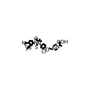 CC(C(=O)O)N1CCN(CCOc2ccc(N3C(=S)N(c4ccc(C#N)c(C(F)(F)F)c4)C(=O)C3(C)C)cc2Cl)CC1